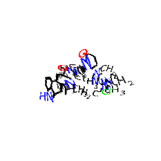 C=CC[N+](C)(C)CC=C.C=CN1CCCC1=O.C=Cn1ccnc1.CCN(CC)C(=O)[C@@H]1C=C2c3cccc4[nH]cc(c34)C[C@H]2N(C)C1.[Cl-]